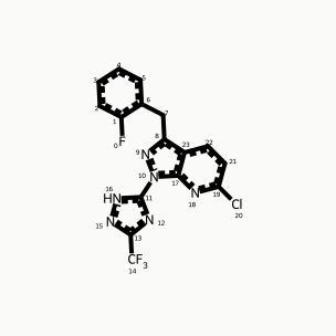 Fc1ccccc1Cc1nn(-c2nc(C(F)(F)F)n[nH]2)c2nc(Cl)ccc12